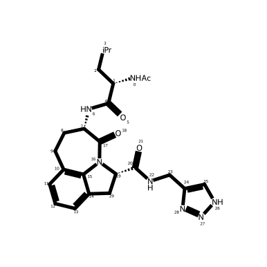 CC(=O)N[C@@H](CC(C)C)C(=O)N[C@H]1CCc2cccc3c2N(C1=O)[C@H](C(=O)NCc1c[nH]nn1)C3